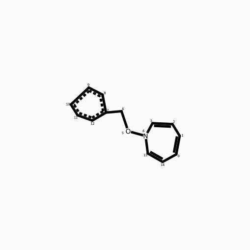 C1=CC=CN(OCc2ccccc2)C=C1